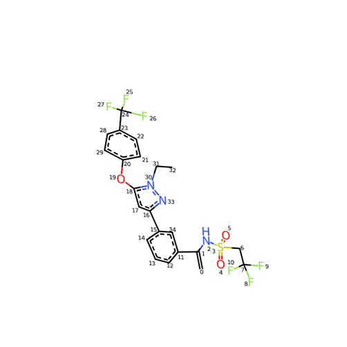 C=C(NS(=O)(=O)CC(F)(F)F)c1cccc(-c2cc(Oc3ccc(C(F)(F)F)cc3)n(CC)n2)c1